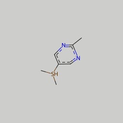 Cc1ncc([SH](C)C)cn1